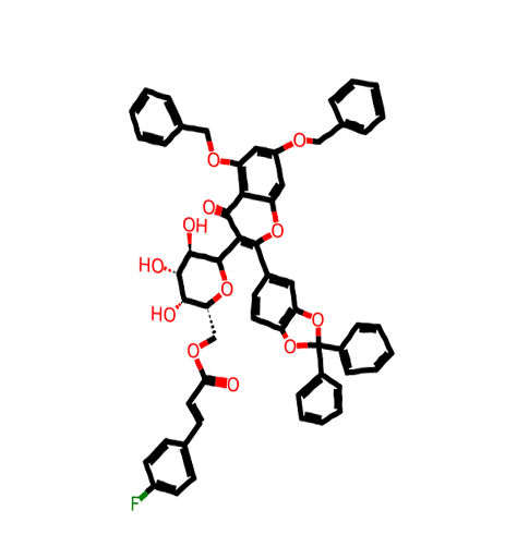 O=C(C=Cc1ccc(F)cc1)OC[C@H]1OC(c2c(-c3ccc4c(c3)OC(c3ccccc3)(c3ccccc3)O4)oc3cc(OCc4ccccc4)cc(OCc4ccccc4)c3c2=O)[C@H](O)[C@@H](O)[C@H]1O